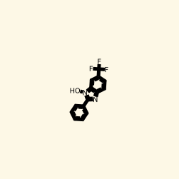 On1c(-c2ccccc2)nc2ccc(C(F)(F)F)cc21